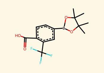 CC1(C)OB(c2ccc(C(=O)O)c(C(F)(F)F)c2)OC1(C)C